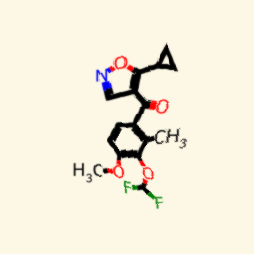 COc1ccc(C(=O)c2cnoc2C2CC2)c(C)c1OC(F)F